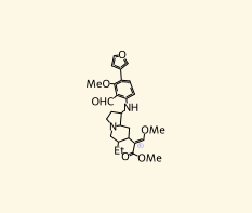 CCC1CN2CCC(Nc3ccc(-c4ccoc4)c(OC)c3C=O)C2CC1/C(=C\OC)C(=O)OC